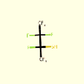 FC(F)(F)C(F)(F)C(F)(S)C(F)(F)F